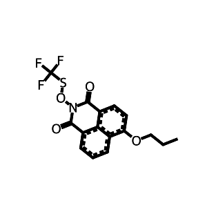 CCCOc1ccc2c3c(cccc13)C(=O)N(OSC(F)(F)F)C2=O